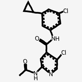 CC(=O)Nc1cc(C(=O)Nc2cc(Cl)cc(C3CC3)c2)c(Cl)cn1